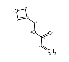 C=CC(=O)OCC1=COC1